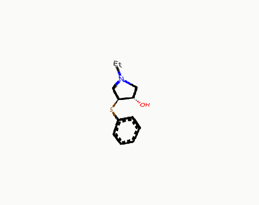 CCN1C[C@H](Sc2ccccc2)[C@@H](O)C1